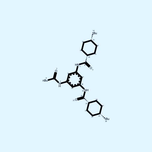 CCCCC(=O)Nc1cc(NC(=O)[C@H]2CC[C@@H](C(C)(C)C)CC2)cc(NC(=O)[C@H]2CC[C@@H](C(C)(C)C)CC2)c1